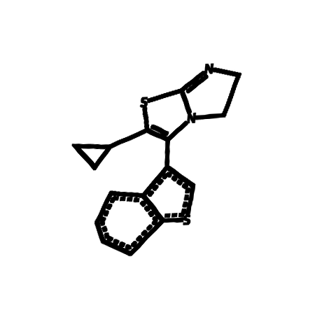 c1ccc2c(C3=C(C4CC4)SC4=NCCN43)csc2c1